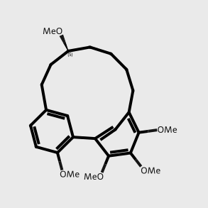 COc1ccc2cc1-c1cc(c(OC)c(OC)c1OC)CCCC[C@H](OC)CC2